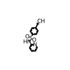 C#Cc1ccc(S(=O)(=O)Nc2ccccn2)cc1